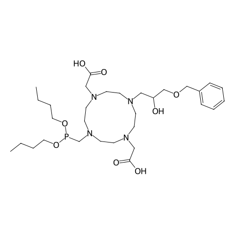 CCCCOP(CN1CCN(CC(=O)O)CCN(CC(O)COCc2ccccc2)CCN(CC(=O)O)CC1)OCCCC